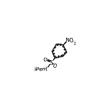 CCCC(C)S(=O)(=O)c1ccc([N+](=O)[O-])cc1